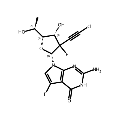 C[C@H](O)[C@H]1O[C@@H](n2cc(F)c3c(=O)[nH]c(N)nc32)C(F)(C#CCl)[C@H]1O